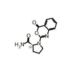 NC(=O)[C@@H]1CCCN1c1nc2ccccc2c(=O)o1